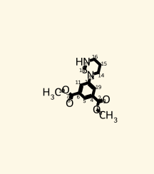 COC(=O)c1cc(C(=O)OC)cc(N2CCCNS2)c1